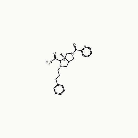 NC(=O)C1[C@@H]2CN(C(=O)c3ccccn3)CC2CN1CC[CH]c1ccccc1